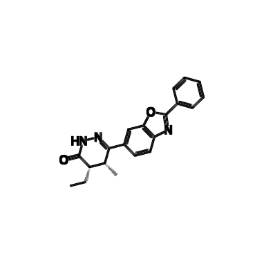 CC[C@@H]1C(=O)NN=C(c2ccc3nc(-c4ccccc4)oc3c2)[C@@H]1C